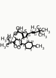 CC1CCC(C(=O)N(c2cc(C#CC(C)(C)C)sc2C(=O)O)C(C)C(=O)N(C)C)CC1